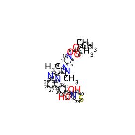 Cc1nn(C2CCN(OC(=O)OC(C)(C)C)CC2)c(C)c1-c1cnc2cccc(-c3ccc(C(O)(O)N4CCSCC4)cc3)c2n1